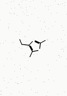 CC(=O)c1sc(N)nc1CO